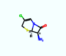 N[C@@H]1C(=O)N2C=C(Cl)CS[C@H]12